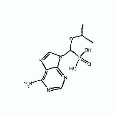 CC(C)OC(n1cnc2c(N)ncnc21)P(=O)(O)O